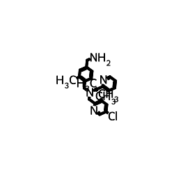 Cc1cc(CN)ccc1CN(Cc1ncc(Cl)cc1C)C(C)(C)c1ccccn1